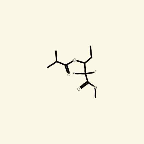 CCC(OC(=O)C(C)C)C(F)(F)C(=O)OC